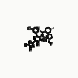 CC([C@H]1CC[C@H](C)CC1)N1C2=C(c3cncc(Cl)c3)N=C(c3n[nH]c(=O)o3)NC2NC1N1CCC[C@H]1CF